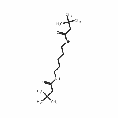 CC(C)(C)CC(=O)NCCCCCNC(=O)CC(C)(C)C